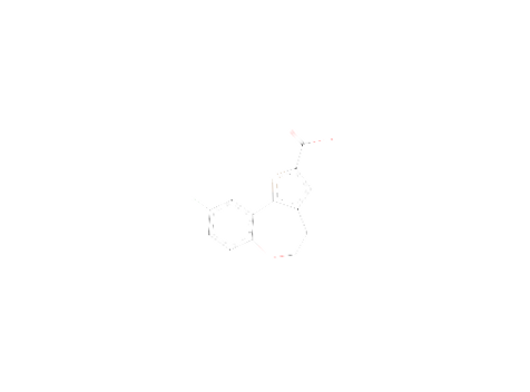 O=C(O)c1cc2c(s1)-c1cc(F)ccc1OCC2